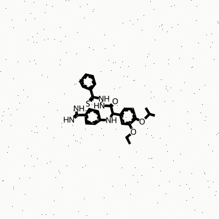 CCOc1cc(C(Nc2ccc(C(=N)N)cc2)C(=O)NNC(=S)c2ccccc2)ccc1OC(C)C